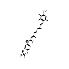 COc1cc(C)c(C=C/C(C)=C/C=C/C(C)=C/C(=O)Nc2ccc(OC(F)(F)F)cc2)c(C)c1C